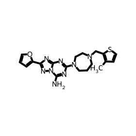 Cc1ccsc1CN1CCCN(c2nc(N)n3nc(-c4ccco4)nc3n2)CC1